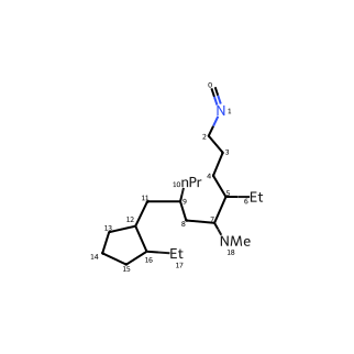 C=NCCCC(CC)C(CC(CCC)CC1CCCC1CC)NC